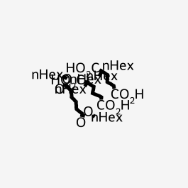 CCCCCCC(CCCCCC)(CCCC(=O)O)C(=O)O.CCCCCCC(CCCCCC)(CCCC(=O)O)C(=O)O.CCCCCCOC(=O)CCCCC(=O)OCCCCCC